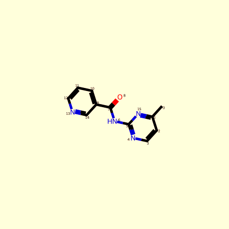 Cc1ccnc(NC(=O)c2cccnc2)n1